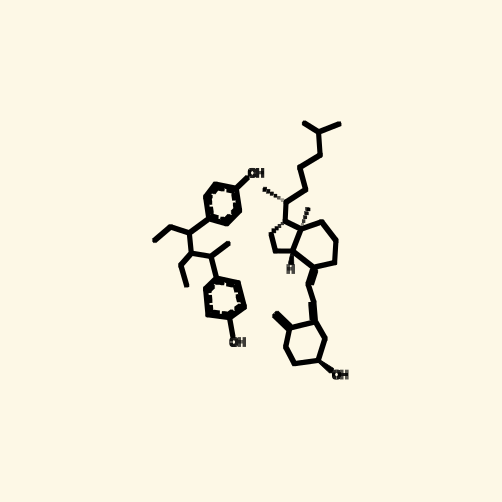 C=C1CC[C@H](O)C/C1=C/C=C1\CCC[C@]2(C)[C@@H]([C@H](C)CCCC(C)C)CC[C@@H]12.CCC(c1ccc(O)cc1)C(CC)C(C)c1ccc(O)cc1